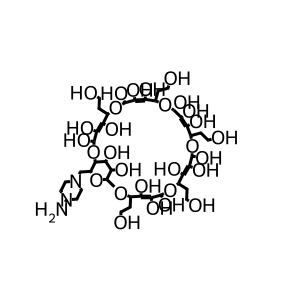 NN1CCN(CC2OC3OC(CCO)/C(O)=C(\O)C(O)OC(CCO)/C(O)=C(\O)C(O)OC(CCO)/C(O)=C(/O)C(O)OC(CCO)/C(O)=C(/O)C(O)OC(CCO)/C(O)=C(\O)C(O)OC2C(O)C3O)CC1